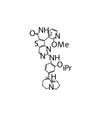 COc1ncccc1-c1c(C(N)=O)sc2cnc(Nc3ccc([C@@H]4CCCN5CCC[C@H]45)cc3OC(C)C)nc12